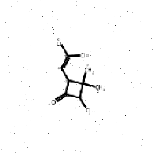 CC1(C)C(Cl)C(=O)C1C=C(Cl)Cl